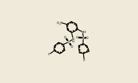 O=[N+]([O-])c1ccc(NS(=O)(=O)c2ccc(F)cc2)c(NS(=O)(=O)c2ccc(F)cc2)c1